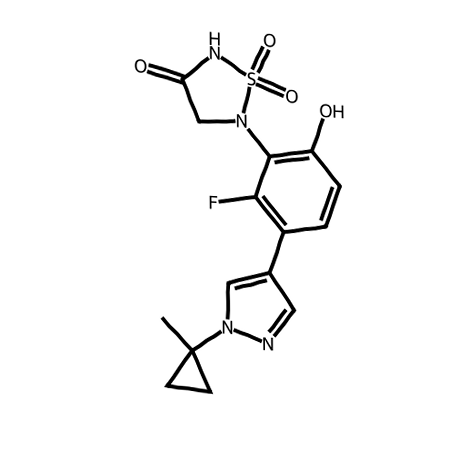 CC1(n2cc(-c3ccc(O)c(N4CC(=O)NS4(=O)=O)c3F)cn2)CC1